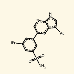 CC(=O)c1c[nH]c2ncc(-c3cc(C(C)C)cc(S(N)(=O)=O)c3)cc12